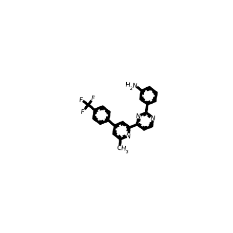 Cc1cc(-c2ccc(C(F)(F)F)cc2)cc(-c2ccnc(-c3cccc(N)c3)n2)n1